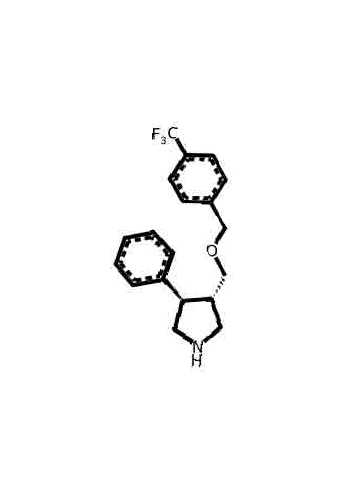 FC(F)(F)c1ccc(COC[C@@H]2CNC[C@H]2c2ccccc2)cc1